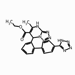 CCOC(=O)C1=C(C)Nc2nnnn2C1c1ccccc1-c1ccc(-c2nnn[nH]2)cc1